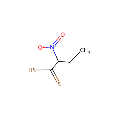 CCC(C(=S)S)[N+](=O)[O-]